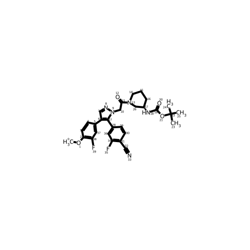 COc1ccc(-c2cnn(CC(=O)N3CCC[C@@H](NC(=O)OC(C)(C)C)C3)c2-c2ccc(C#N)c(F)c2)cc1F